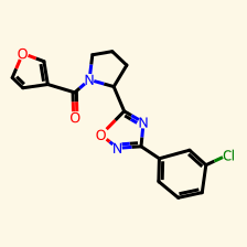 O=C(c1ccoc1)N1CCCC1c1nc(-c2cccc(Cl)c2)no1